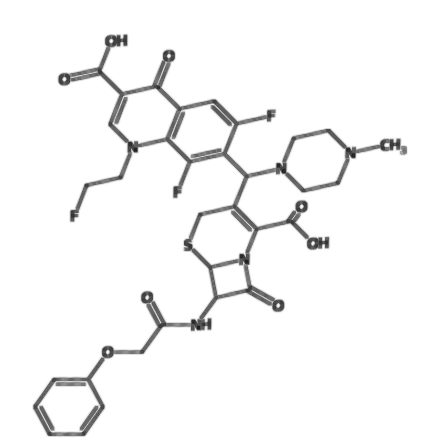 CN1CCN(C(C2=C(C(=O)O)N3C(=O)C(NC(=O)COc4ccccc4)C3SC2)c2c(F)cc3c(=O)c(C(=O)O)cn(CCF)c3c2F)CC1